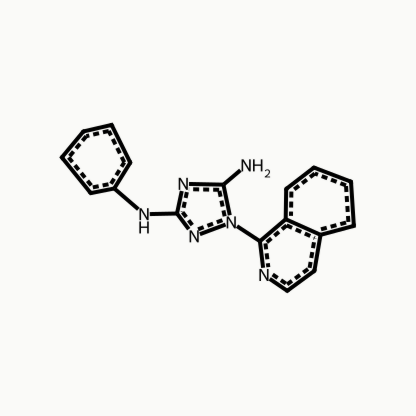 Nc1nc(Nc2ccccc2)nn1-c1nccc2ccccc12